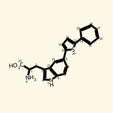 NC(Cc1c[nH]c2ccc(-c3ccc(-c4ccccc4)s3)cc12)C(=O)O